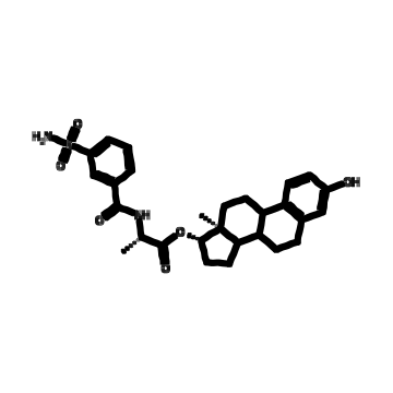 C[C@H](NC(=O)c1cccc(S(N)(=O)=O)c1)C(=O)O[C@H]1CCC2C3CCc4cc(O)ccc4C3CC[C@@]21C